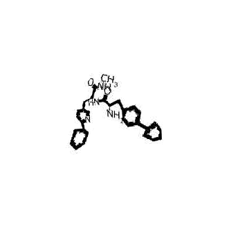 CNC(=O)[C@H](Cc1ccc(-c2ccccc2)nc1)NC(=O)[C@@H](N)Cc1ccc(-c2ccccc2)cc1